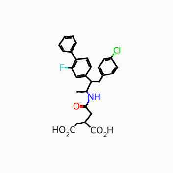 CC(NC(=O)CC(CC(=O)O)C(=O)O)C(Cc1ccc(Cl)cc1)c1ccc(-c2ccccc2)c(F)c1